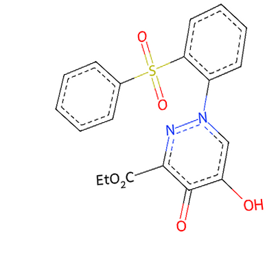 CCOC(=O)c1nn(-c2ccccc2S(=O)(=O)c2ccccc2)cc(O)c1=O